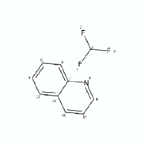 FC(F)F.c1ccc2ncccc2c1